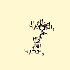 CC(C)CNCCNCCNC1CC(C)(C)NC(C)(C)C1